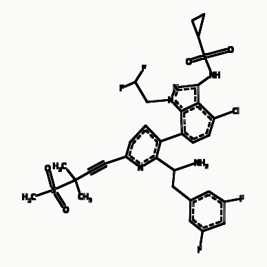 CC(C)(C#Cc1ccc(-c2ccc(Cl)c3c(NS(=O)(=O)C4CC4)nn(CC(F)F)c23)c(C(N)Cc2cc(F)cc(F)c2)n1)S(C)(=O)=O